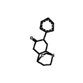 O=C1CC2C3CCN(CC3)C2CC1c1ccccc1